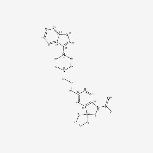 CCC1(CC)CN(C(C)=O)c2ccc(CCCN3CCN(c4nsc5ccccc45)CC3)cc21